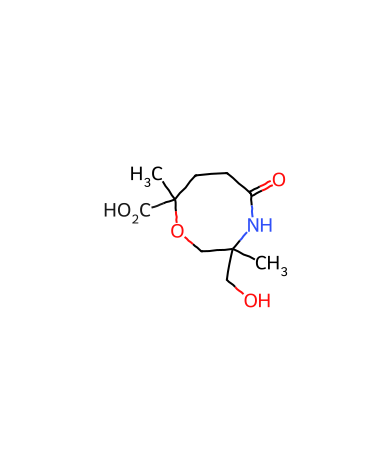 CC1(CO)COC(C)(C(=O)O)CCC(=O)N1